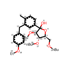 CCCCOC[C@@H]1OC(O)(c2ccc(C)c(Cc3ccc(OCC)cc3)c2)[C@H](OCCCC)[C@H]1OCCCC